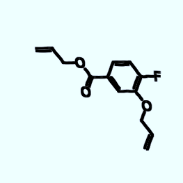 C=CCOC(=O)c1ccc(F)c(OCC=C)c1